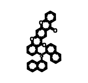 O=c1c2ccccc2oc2cc3oc4cccc(N(c5cccc6ccccc56)c5cccc6ccccc56)c4c(=O)c3cc12